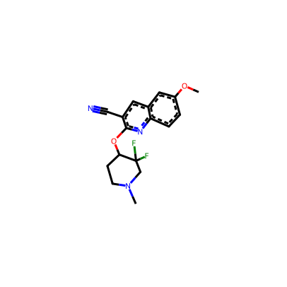 COc1ccc2nc(OC3CCN(C)CC3(F)F)c(C#N)cc2c1